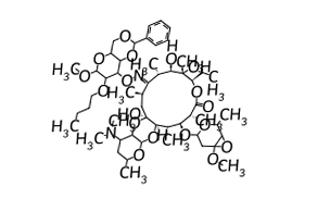 CCCCOC1C(OC)OC2COC(c3ccccc3)OC2C1O/N=C1\[C@H](C)C[C@]2(O)OC3C(OC(C)CC3N(C)C)O[C@@H]2[C@@H](C)[C@H](OC2CC3(OC)OC3C(C)O2)[C@@H](C)C(=O)O[C@H](CC)[C@@](C)(O)[C@H](O)[C@H]1C